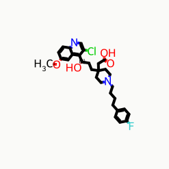 COc1ccc2ncc(Cl)c([C@H](O)CCC3(CC(=O)O)CCN(CCCCc4ccc(F)cc4)CC3)c2c1